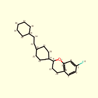 Fc1ccc2c(c1)OC(C1CCC(CCC3CCCCC3)CC1)CC2